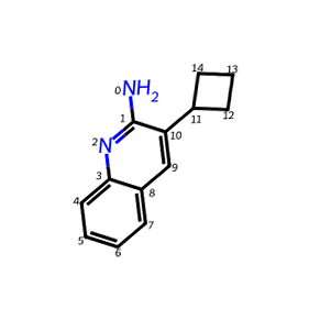 Nc1nc2ccccc2cc1C1CCC1